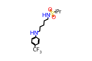 CC(C)S(=O)(=O)NCCCCCNc1ccc(C(F)(F)F)cc1